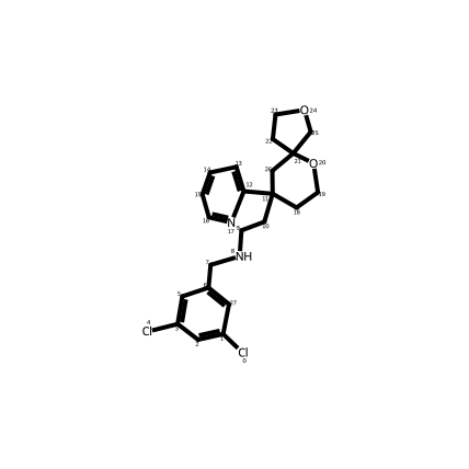 Clc1cc(Cl)cc(CNCCC2(c3ccccn3)CCOC3(CCOC3)C2)c1